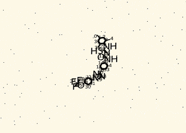 Cc1cc(C)c(N/C(S)=N/C(=O)Nc2ccc(-c3ncn(-c4ccc(OC(F)(F)F)cc4)n3)cc2)c(C)c1